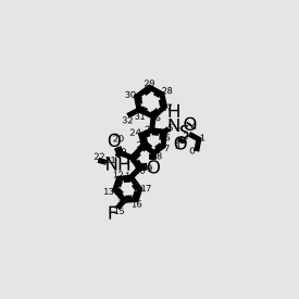 CCS(=O)(=O)Nc1cc2oc(-c3ccc(F)cc3)c(C(=O)NC)c2cc1-c1ccccc1C